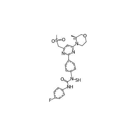 C[C@H]1COCCN1c1cc(CS(C)(=O)=O)nc(-c2ccc(N(S)C(=O)Nc3ccc(F)cc3)cc2)n1